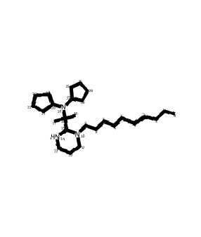 CCCCCCCCCCN1CCCNC1C(C)(C)N(C1CCCC1)C1CCCC1